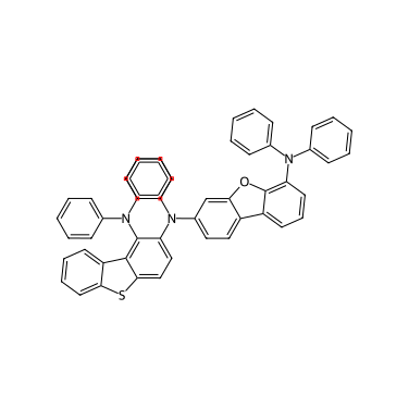 c1ccc(N(c2ccc3c(c2)oc2c(N(c4ccccc4)c4ccccc4)cccc23)c2ccc3sc4ccccc4c3c2N(c2ccccc2)c2ccccc2)cc1